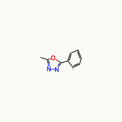 Cc1nnc(-c2[c]cccc2)o1